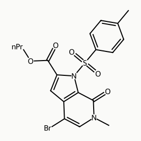 CCCOC(=O)c1cc2c(Br)cn(C)c(=O)c2n1S(=O)(=O)c1ccc(C)cc1